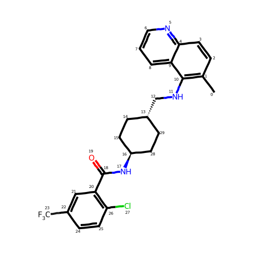 Cc1ccc2ncccc2c1NC[C@H]1CC[C@H](NC(=O)c2cc(C(F)(F)F)ccc2Cl)CC1